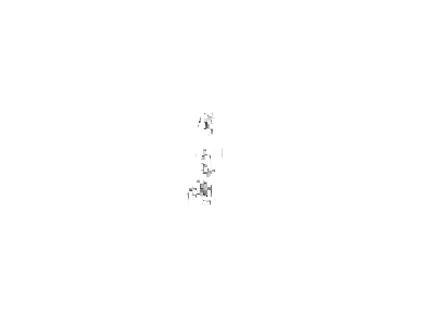 C#Cc1c(F)ccc2cccc(-c3ncc4c(N5CC6CCC(C5)N6)nc(OC[C@@]56CC[C@@H](COC(=O)NCCc7ccc8c(c7)C(=O)N(C7CCC(=O)NC7=O)C8=O)N5CC(=C)C6)nc4c3F)c12